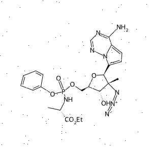 CCOC(=O)[C@H](C)NP(=O)(OC[C@H]1O[C@@H](c2ccc3c(N)ncnn23)[C@](C)(N=[N+]=[N-])[C@@H]1O)Oc1ccccc1